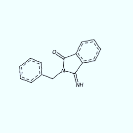 N=C1c2ccccc2C(=O)N1Cc1ccccc1